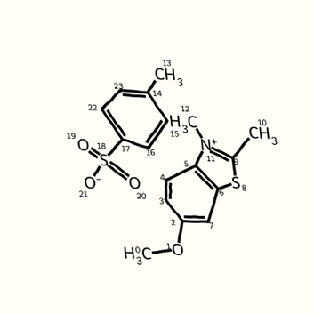 COc1ccc2c(c1)sc(C)[n+]2C.Cc1ccc(S(=O)(=O)[O-])cc1